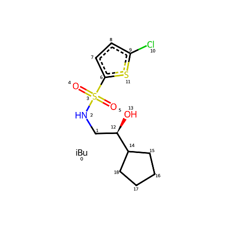 CC[C@H](C)C(NS(=O)(=O)c1ccc(Cl)s1)[C@@H](O)C1CCCC1